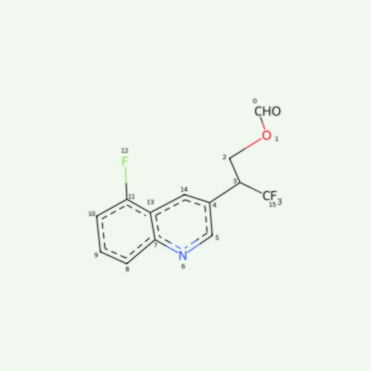 O=COCC(c1cnc2cccc(F)c2c1)C(F)(F)F